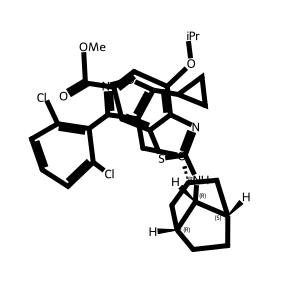 COC(=O)c1cc(OC(C)C)c2nc(N[C@H]3[C@@H]4CC[C@H]3C[C@@H](OCc3c(-c5c(Cl)cccc5Cl)noc3C3CC3)C4)sc2c1